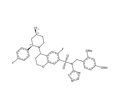 COc1ccc(CN(c2ncns2)S(=O)(=O)c2cc3c(cc2F)C(N2CC[C@H](C(F)(F)F)C[C@@H]2c2ccc(F)cc2)CCO3)c(OC)c1